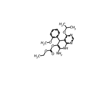 CCOC(=O)OC1=C(N)Nc2ncnc(OC(C)C)c2C1c1ccccc1OC